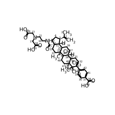 C=C(C)[C@@H]1CC[C@]2(C(=O)NCCN(CC(=O)O)CC(=O)O)CC[C@]3(C)C(CC[C@@H]4[C@@]5(C)CC=C(c6ccc(C(=O)O)cc6)C(C)(C)[C@@H]5CC[C@]43C)[C@@H]12